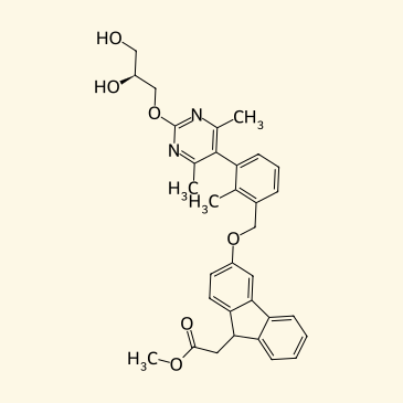 COC(=O)CC1c2ccccc2-c2cc(OCc3cccc(-c4c(C)nc(OC[C@@H](O)CO)nc4C)c3C)ccc21